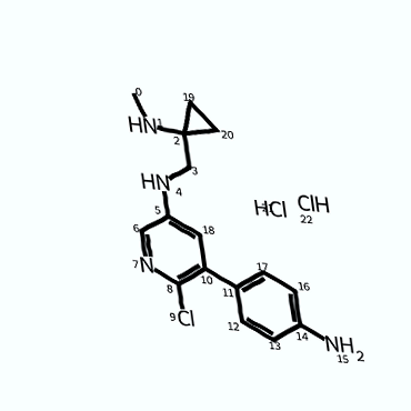 CNC1(CNc2cnc(Cl)c(-c3ccc(N)cc3)c2)CC1.Cl.Cl